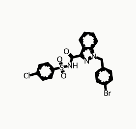 O=C(NS(=O)(=O)c1ccc(Cl)cc1)c1nn(Cc2ccc(Br)cc2)c2ccccc12